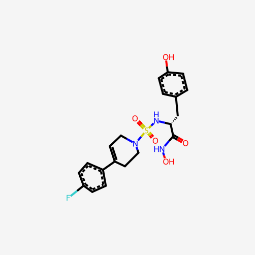 O=C(NO)[C@@H](Cc1ccc(O)cc1)NS(=O)(=O)N1CC=C(c2ccc(F)cc2)CC1